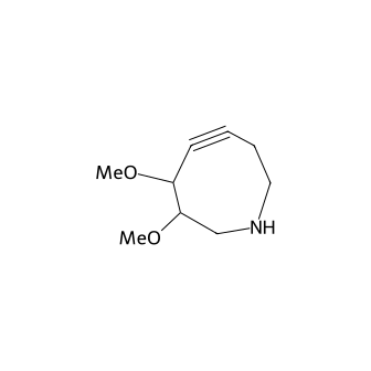 COC1C#CCCNCC1OC